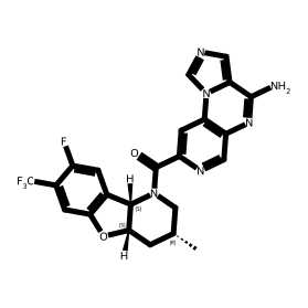 C[C@@H]1C[C@@H]2Oc3cc(C(F)(F)F)c(F)cc3[C@@H]2N(C(=O)c2cc3c(cn2)nc(N)c2cncn23)C1